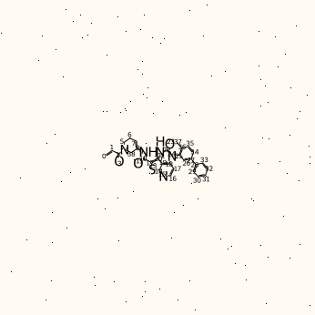 C=CC(=O)N1CCC=C(NC(=O)c2sc3nccc4c3c2NC(=O)N4c2cc(-c3ccccc3)ccc2C)C1